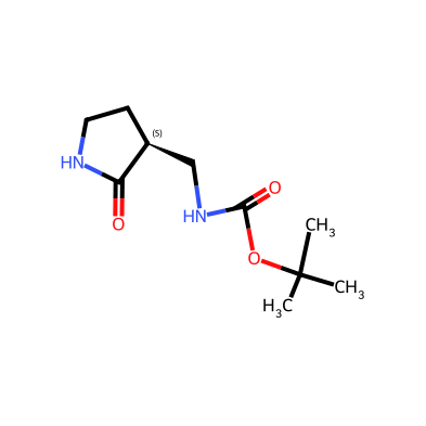 CC(C)(C)OC(=O)NC[C@@H]1CCNC1=O